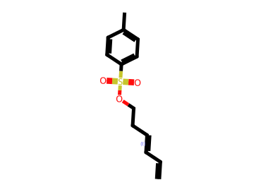 C=C/C=C/CCOS(=O)(=O)c1ccc(C)cc1